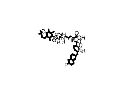 Cc1c(C)c(S(=O)(=O)NC(=N)NCCC[C@H](NC(=O)c2ccc(Cc3ccc4cc(F)ccc4c3)[nH]c2=O)C(=O)O)c(C)c2c1OC(C)(C)CC2